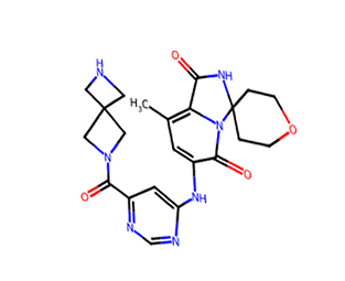 Cc1cc(Nc2cc(C(=O)N3CC4(CNC4)C3)ncn2)c(=O)n2c1C(=O)NC21CCOCC1